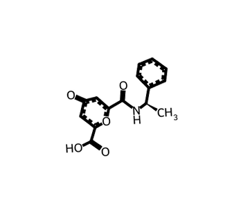 C[C@@H](NC(=O)c1cc(=O)cc(C(=O)O)o1)c1ccccc1